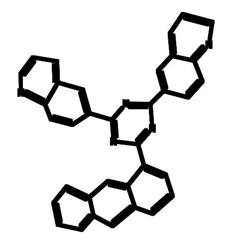 c1ccc2cc3c(-c4nc(-c5ccc6ncccc6c5)nc(-c5ccc6ncccc6c5)n4)cccc3cc2c1